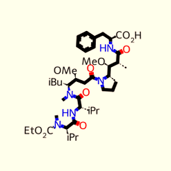 CCOC(=O)N(C)[C@H](C(=O)N[C@H](C(=O)N(C)[C@@H]([C@@H](C)CC)[C@@H](CC(=O)N1CCC[C@H]1[C@H](OC)[C@@H](C)C(=O)N[C@@H](Cc1ccccc1)C(=O)O)OC)C(C)C)C(C)C